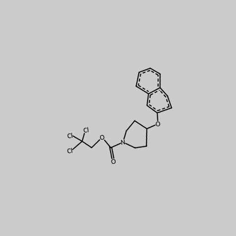 O=C(OCC(Cl)(Cl)Cl)N1CCC(Oc2ccc3ccccc3c2)CC1